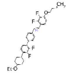 C=CCCOc1ccc(/C=C/c2ccc(-c3ccc(C4CCC(OCC)CC4)c(F)c3F)cc2)c(F)c1F